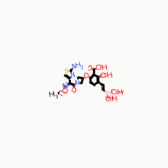 CO/N=C(\C(=O)N1CC(Oc2ccc(CCB(O)O)c(O)c2C(=O)O)C1)c1csc(N)n1